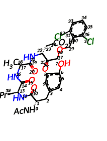 CC(=O)N[C@@H](Cc1ccc(O)cc1)C(=O)N[C@H](C(=O)N[C@@H](C)C(=O)N[C@H](CC(=O)O)C(=O)COCc1c(Cl)cccc1Cl)C(C)C